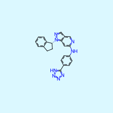 c1ccc2c(c1)CC[C@H]2n1ncc2cnc(Nc3ccc(-c4nnn[nH]4)cc3)cc21